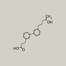 C=C(O)CCCc1cccc(-c2cccc(CCC(=O)O)c2)c1